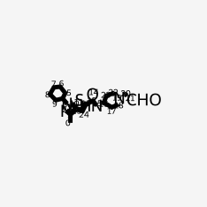 Cc1nn(C2CCCCC2)c2sc(C(=O)NC3CCN(CC=O)CC3)cc12